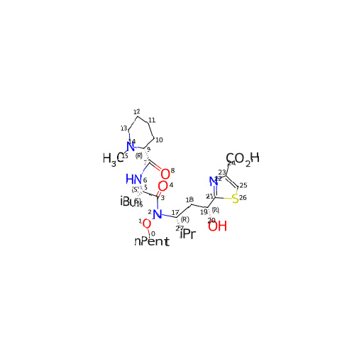 CCCCCON(C(=O)[C@@H](NC(=O)[C@H]1CCCCN1C)[C@@H](C)CC)[C@H](C[C@@H](O)c1nc(C(=O)O)cs1)C(C)C